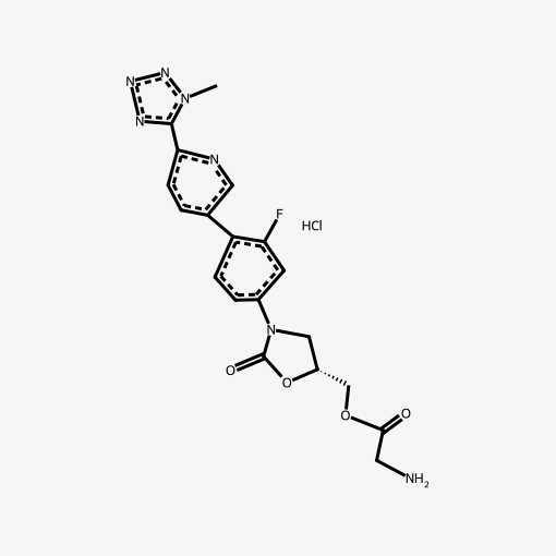 Cl.Cn1nnnc1-c1ccc(-c2ccc(N3C[C@H](COC(=O)CN)OC3=O)cc2F)cn1